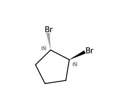 Br[C@H]1CCC[C@@H]1Br